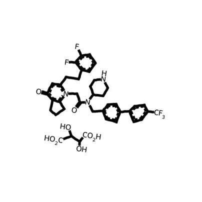 O=C(Cn1c(CCc2cccc(F)c2F)cc(=O)c2c1CCC2)N(Cc1ccc(-c2ccc(C(F)(F)F)cc2)cc1)C1CCNCC1.O=C(O)C(O)C(O)C(=O)O